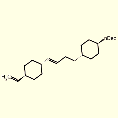 C=C[C@H]1CC[C@H](C=CCC[C@H]2CC[C@H](CCCCCCCCCC)CC2)CC1